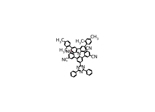 Cc1ccc(-c2ccc3c(c2)c2cc(-c4ccc(C)cc4C)ccc2n3-c2c(-c3cc(C#N)cc(C#N)c3)cc(-c3nc(-c4ccccc4)nc(-c4ccccc4)n3)cc2-c2cc(C#N)cc(C#N)c2)c(C)c1